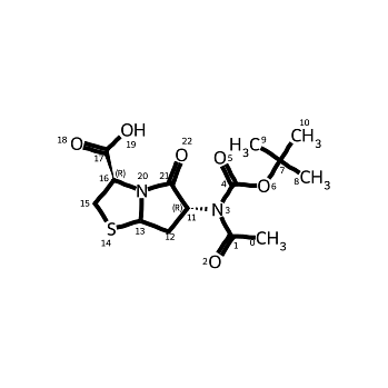 CC(=O)N(C(=O)OC(C)(C)C)[C@@H]1CC2SC[C@@H](C(=O)O)N2C1=O